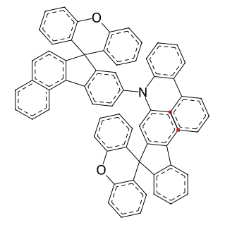 c1ccc(-c2ccccc2N(c2ccc3c(c2)C2(c4ccccc4Oc4ccccc42)c2ccccc2-3)c2ccc3c(c2)C2(c4ccccc4Oc4ccccc42)c2ccc4ccccc4c2-3)cc1